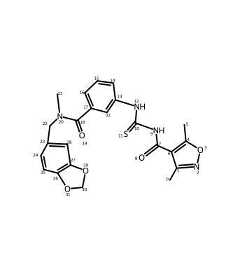 Cc1noc(C)c1C(=O)NC(=S)Nc1cccc(C(=O)N(C)Cc2ccc3c(c2)OCO3)c1